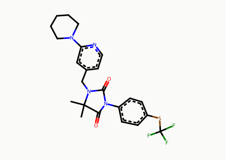 CC1(C)C(=O)N(c2ccc(SC(F)(F)F)cc2)C(=O)N1Cc1ccnc(N2CCCCC2)c1